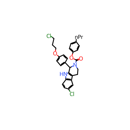 CCCc1ccc(OC(=O)N2CCc3c([nH]c4ccc(Cl)cc34)C2c2ccc(OCCCCl)cc2)cc1